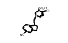 N#Cc1ccc2c(c1)CCC2Cn1ccc(=O)c(C(=O)O)c1